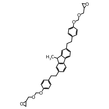 CC1c2cc(CCc3ccc(OCOCC4CO4)cc3)ccc2-c2ccc(CCc3ccc(OCOCC4CO4)cc3)cc21